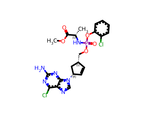 COC(=O)[C@H](C)NP(=O)(OC[C@@H]1C=C[C@H](n2cnc3c(Cl)nc(N)nc32)C1)Oc1ccccc1Cl